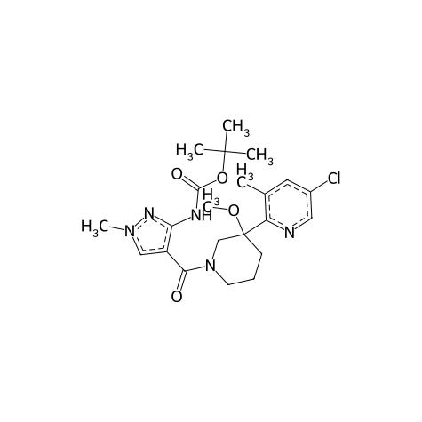 COC1(c2ncc(Cl)cc2C)CCCN(C(=O)c2cn(C)nc2NC(=O)OC(C)(C)C)C1